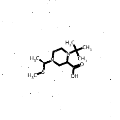 CS[C@@H](C)N1CCN(C(C)(C)C)C(C(=O)O)C1